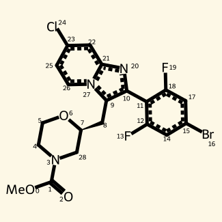 COC(=O)N1CCO[C@@H](Cc2c(-c3c(F)cc(Br)cc3F)nc3cc(Cl)ccn23)C1